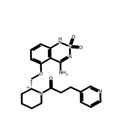 NC1=NS(=O)(=O)Nc2cccc(OC[C@H]3CCCCN3C(=O)CCc3cccnc3)c21